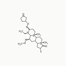 CC[C@H]1C(=NOC2CCNC2)CC[C@]2(C)C3CC[C@]4(C)C(=O)C(F)CC4C3CC(=NOC)C12